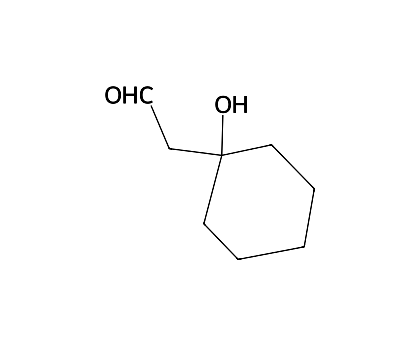 O=CCC1(O)CCCCC1